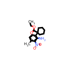 CCOC(=O)C1(c2ccc(C)c([N+](=O)[O-])c2N)CCCCC1